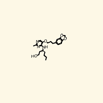 CCCC[C@@H](CCO)Nc1nc(C)ncc1OCCCc1ccc2c(c1)OCO2